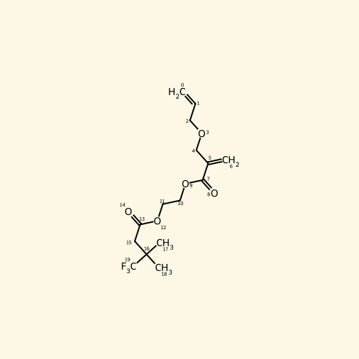 C=CCOCC(=C)C(=O)OCCOC(=O)CC(C)(C)C(F)(F)F